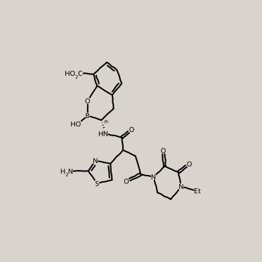 CCN1CCN(C(=O)CC(C(=O)N[C@H]2Cc3cccc(C(=O)O)c3OB2O)c2csc(N)n2)C(=O)C1=O